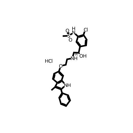 Cc1c(-c2ccccc2)[nH]c2cc(OCCNC[C@H](O)c3ccc(Cl)c(NS(C)(=O)=O)c3)ccc12.Cl